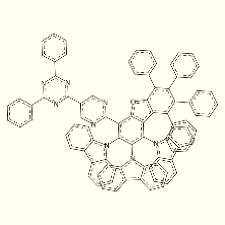 c1ccc(-c2nc(-c3ccccc3)nc(-c3cnc(-c4c(-n5c6ccccc6c6ccccc65)c(-n5c6ccccc6c6ccccc65)c(-n5c6ccccc6c6ccccc65)c5c4oc4c(-c6ccccc6)c(-c6ccccc6)c(-c6ccccc6)c(-c6ccccc6)c45)nc3)n2)cc1